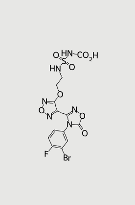 O=C(O)NS(=O)(=O)NCCOc1nonc1-c1noc(=O)n1-c1ccc(F)c(Br)c1